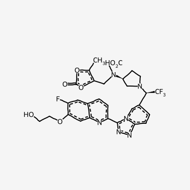 Cc1oc(=O)oc1CN(C(=O)O)[C@H]1CCN([C@H](c2ccc3nnc(-c4ccc5cc(F)c(OCCO)cc5n4)n3c2)C(F)(F)F)C1